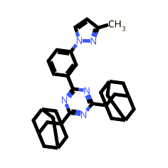 Cc1ccn(-c2cccc(-c3nc(C45CC6CC(CC(C6)C4)C5)nc(C45CC6CC(CC(C6)C4)C5)n3)c2)n1